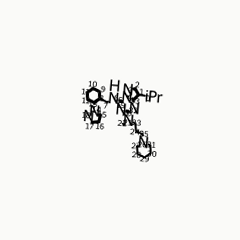 CC(C)c1cnn2c(NCc3ccccc3-n3cccn3)nc(N(C)CCCN3CCCCC3)nc12